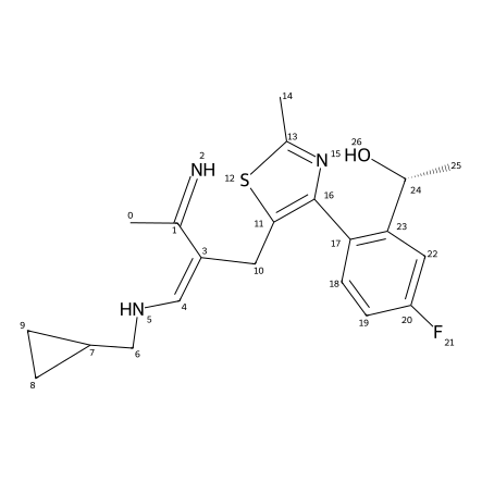 CC(=N)/C(=C\NCC1CC1)Cc1sc(C)nc1-c1ccc(F)cc1[C@@H](C)O